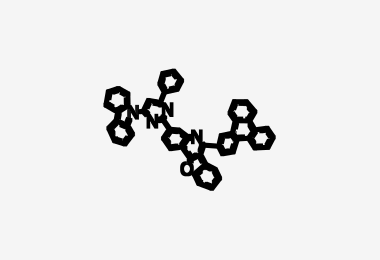 c1ccc(-c2cc(-n3c4ccccc4c4ccccc43)nc(-c3ccc4c(c3)nc(-c3ccc5c6ccccc6c6ccccc6c5c3)c3c5ccccc5oc43)n2)cc1